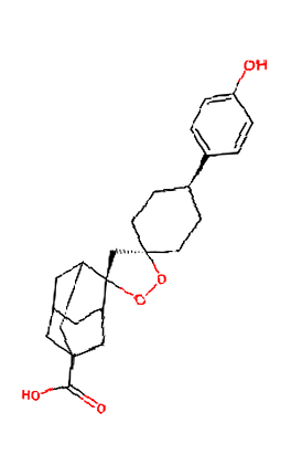 O=C(O)C12CC3CC(C1)[C@]1(C[C@]4(CC[C@H](c5ccc(O)cc5)CC4)OO1)C(C3)C2